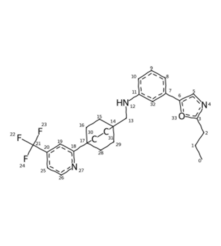 CCCc1ncc(-c2cccc(NCC34CCC(c5cc(C(F)(F)F)ccn5)(CC3)CC4)c2)o1